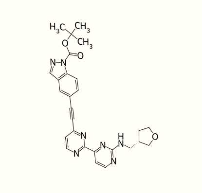 CC(C)(C)OC(=O)n1ncc2cc(C#Cc3ccnc(-c4ccnc(NC[C@@H]5CCOC5)n4)n3)ccc21